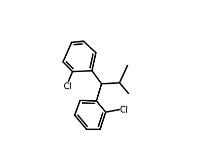 CC(C)C(c1ccccc1Cl)c1ccccc1Cl